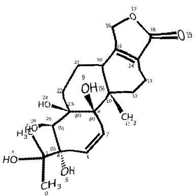 CC(C)(O)[C@]1(O)C=C[C@@]2(O)[C@@]3(C)CCC4=C(COC4=O)C3CC[C@@]2(O)[C@@H]1O